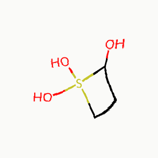 OC1CCS1(O)O